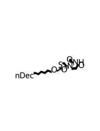 CCCCCCCCCCCCCCCCOC[C@@H]1O[C@H](n2ccc(=O)[nH]c2=O)CS1